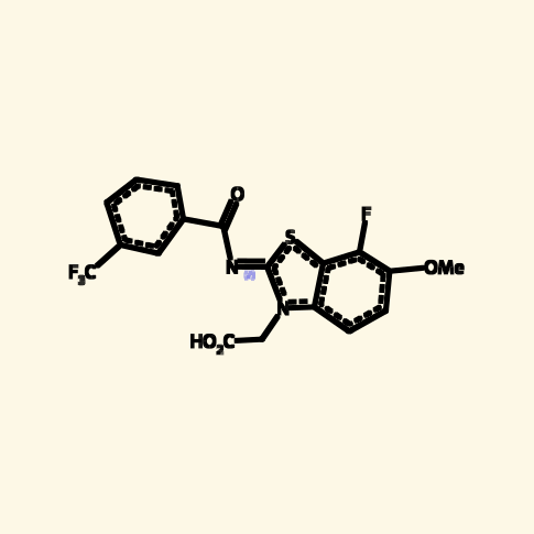 COc1ccc2c(s/c(=N\C(=O)c3cccc(C(F)(F)F)c3)n2CC(=O)O)c1F